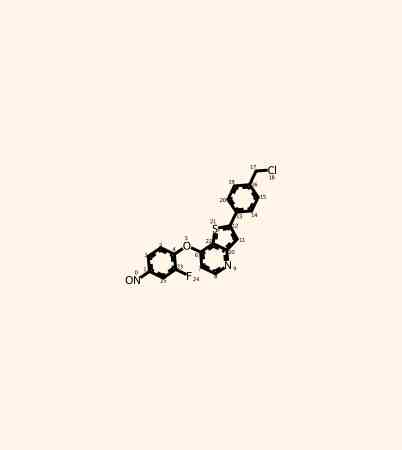 O=Nc1ccc(Oc2ccnc3cc(-c4ccc(CCl)cc4)sc23)c(F)c1